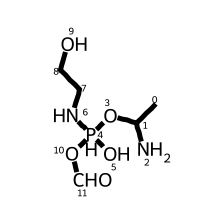 CC(N)O[PH](O)(NCCO)OC=O